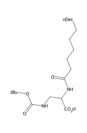 CCCCCCCCCCCCCCCC(=O)NC(CNC(=O)OC(C)(C)C)C(=O)O